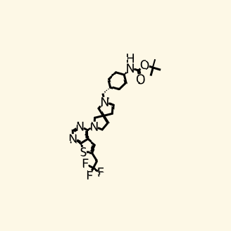 CC(C)(C)OC(=O)N[C@H]1CC[C@H](CN2CCC3(CCN(c4ncnc5sc(CC(F)(F)F)cc45)C3)C2)CC1